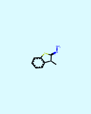 CC1/C(=N/N)Sc2ccccc21